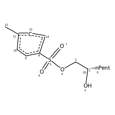 CCCCC[C@H](O)COS(=O)(=O)c1ccc(C)cc1